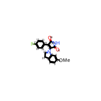 COc1ccc2c(c1)N(C1=C(c3ccc(F)cc3)C(=O)NC1=O)CC2